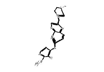 C[C@H]1CCN(c2cnc3nc(Sc4ccnc(N)c4Cl)ccc3n2)C1